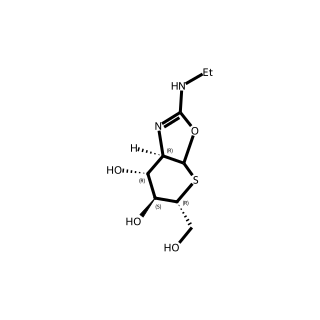 CCNC1=N[C@H]2C(O1)S[C@H](CO)[C@@H](O)[C@@H]2O